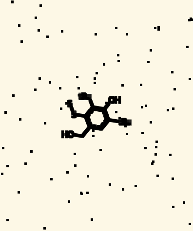 CC(C)(C)c1cc(CO)c(S[S])c(C(C)(C)C)c1O